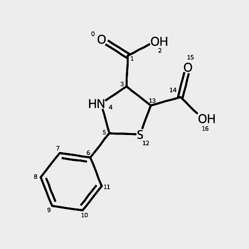 O=C(O)C1NC(c2ccccc2)SC1C(=O)O